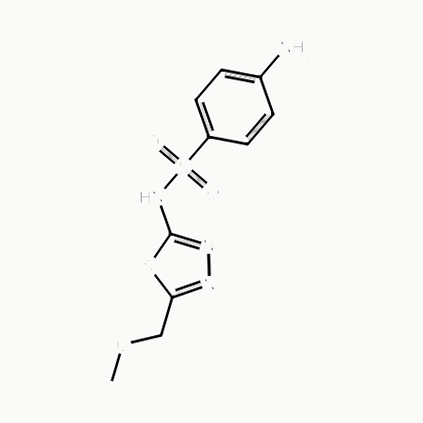 COCc1nnc(NS(=O)(=O)c2ccc(N)cc2)s1